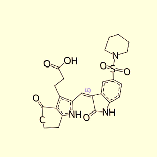 O=C(O)CCc1c(/C=C2\C(=O)Nc3ccc(S(=O)(=O)N4CCCCC4)cc32)[nH]c2c1C(=O)CCC2